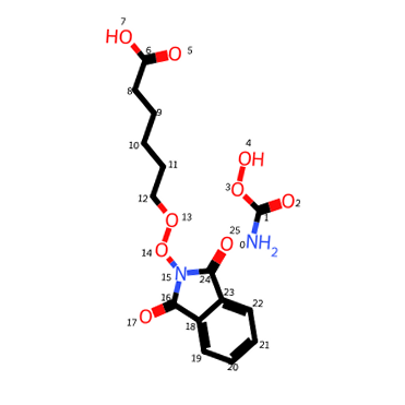 NC(=O)OO.O=C(O)CCCCCOON1C(=O)c2ccccc2C1=O